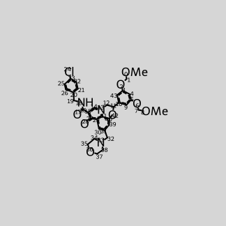 COCOc1cc(OCOC)cc(C2Cn3cc(C(=O)NCc4ccc(Cl)cc4)c(=O)c4cc(CN5CCOCC5)cc(c43)O2)c1